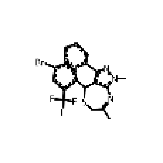 CC1=Nc2c(c(-c3ccccn3)nn2C)C(c2ccc(Br)cc2C(F)(F)F)SC1